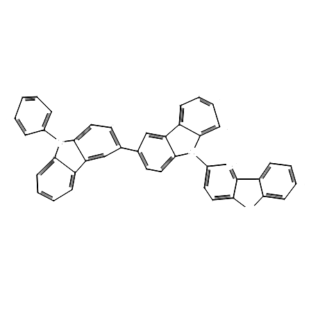 c1ccc(-n2c3ccccc3c3cc(-c4ccc5c(c4)c4ccccc4n5-c4ccc5oc6ccccc6c5n4)ccc32)cc1